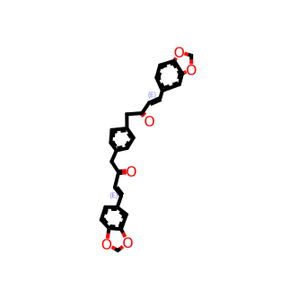 O=C(/C=C/c1ccc2c(c1)OCO2)Cc1ccc(CC(=O)/C=C/c2ccc3c(c2)OCO3)cc1